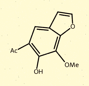 COc1c(O)c(C(C)=O)cc2ccoc12